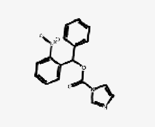 O=C(OC(c1ccccc1)c1ccccc1[N+](=O)[O-])n1ccnc1